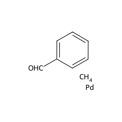 C.O=Cc1ccccc1.[Pd]